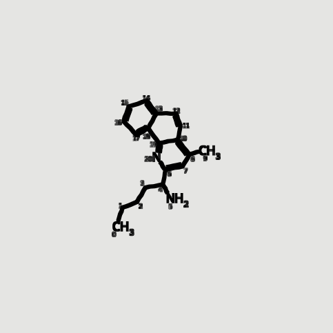 CCCCC(N)c1cc(C)c2ccc3ccccc3c2n1